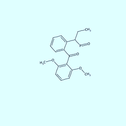 CCC(P=O)c1ccccc1C(=O)c1c(OC)cccc1OC